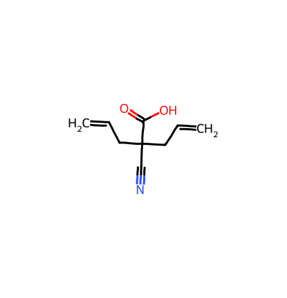 C=CCC(C#N)(CC=C)C(=O)O